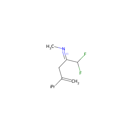 C=C(C/C(=N\C)C(F)F)C(C)C